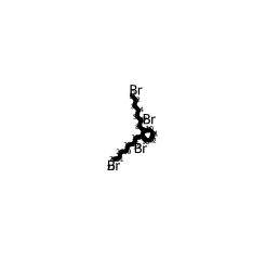 BrCCCCCC(Br)Cc1ccccc1CC(Br)CCCCCBr